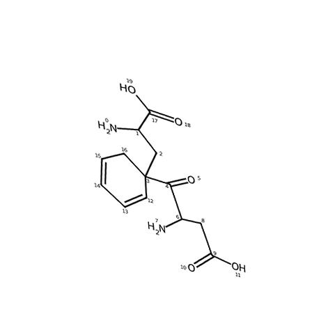 NC(CC1(C(=O)C(N)CC(=O)O)C=CC=CC1)C(=O)O